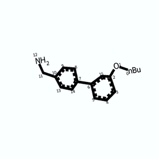 CCCCOc1cccc(-c2ccc(CN)cc2)c1